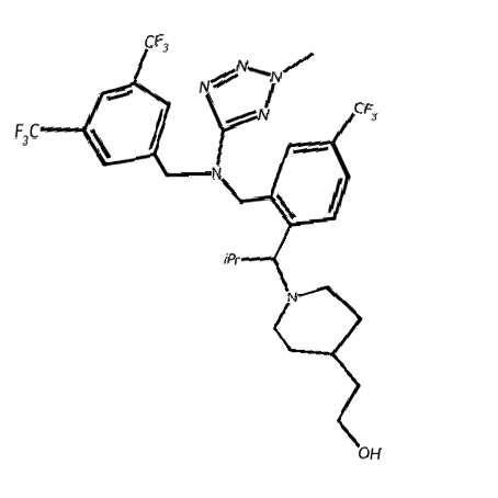 CC(C)C(c1ccc(C(F)(F)F)cc1CN(Cc1cc(C(F)(F)F)cc(C(F)(F)F)c1)c1nnn(C)n1)N1CCC(CCO)CC1